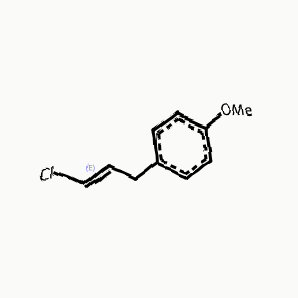 COc1ccc(C/C=C/Cl)cc1